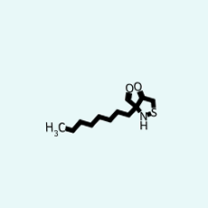 CCCCCCCCC1(C=O)NSCC1=O